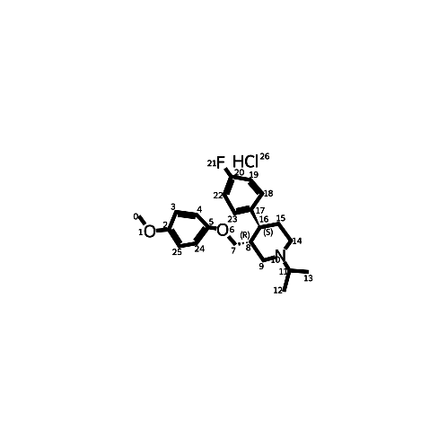 COc1ccc(OC[C@H]2CN(C(C)C)CC[C@@H]2c2ccc(F)cc2)cc1.Cl